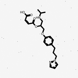 CC(C)NCC(COc1ccc(CCCn2cccn2)cc1)OC(=O)/C=C\C(=O)O